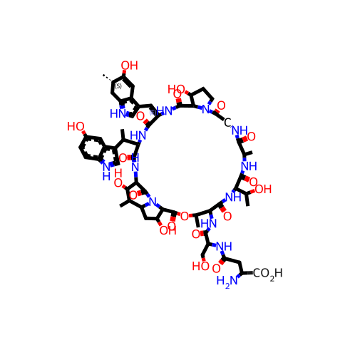 CC1NC(=O)C(C(C)O)NC(=O)C(NC(=O)C(CO)NC(=O)CC(N)C(=O)O)C(C)OC(=O)C2C(O)CC3C(C)C(O)C(NC(=O)C(C(C)c4c[nH]c5ccc(O)cc45)NC(=O)/C(=C\c4c[nH]c5c4C=C(O)[C@@H](C)C5)NC(=O)C4C(O)CCN4C(=O)CNC1=O)C(=O)N32